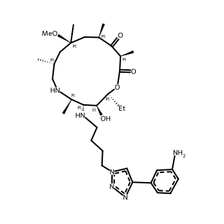 CC[C@H]1OC(=O)[C@H](C)C(=O)[C@H](C)C[C@](C)(OC)C[C@@H](C)CN[C@H](C)[C@@H](NCCCCn2cc(-c3cccc(N)c3)nn2)[C@@H]1O